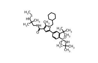 CSNC(C)(C)CNC(=O)c1cc(-c2ccc(S(=O)(=O)NC(C)(C)C)c(C(C)(C)C)c2)n(CC2CCCCC2)c1C